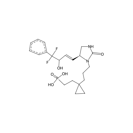 O=C1NC[C@H](/C=C/C(O)C(F)(F)c2ccccc2)N1CCCC1(CCP(=O)(O)O)CC1